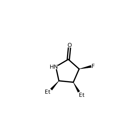 CC[C@@H]1[C@H](F)C(=O)N[C@@H]1CC